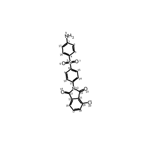 Nc1ccc(S(=O)(=O)c2ccc(N3C(=O)c4cccc(Cl)c4C3=O)cc2)cc1